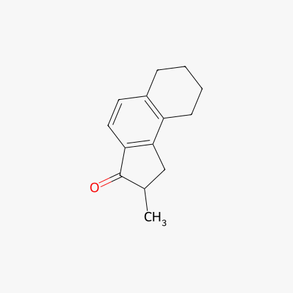 CC1Cc2c(ccc3c2CCCC3)C1=O